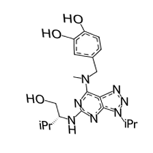 CC(C)[C@H](CO)Nc1nc(N(C)Cc2ccc(O)c(O)c2)c2nnn(C(C)C)c2n1